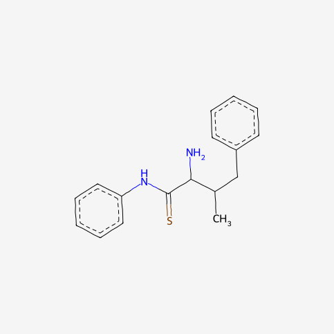 CC(Cc1ccccc1)C(N)C(=S)Nc1ccccc1